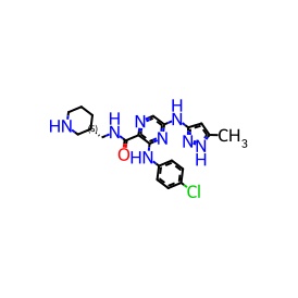 Cc1cc(Nc2cnc(C(=O)NC[C@H]3CCCNC3)c(Nc3ccc(Cl)cc3)n2)n[nH]1